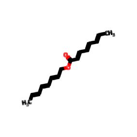 CC=CC=CC=CCOC(=O)C=CC=CC=CC